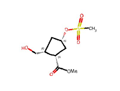 COC(=O)[C@H]1C[C@@H](OS(C)(=O)=O)C[C@H]1CO